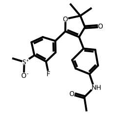 CC(=O)Nc1ccc(C2=C(c3ccc([S+](C)[O-])c(F)c3)OC(C)(C)C2=O)cc1